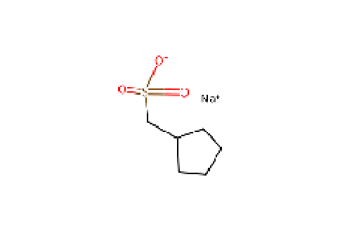 O=S(=O)([O-])CC1CCCC1.[Na+]